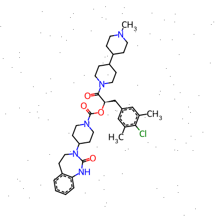 Cc1cc(C[C@@H](OC(=O)N2CCC(N3CCc4ccccc4NC3=O)CC2)C(=O)N2CCC(C3CCN(C)CC3)CC2)cc(C)c1Cl